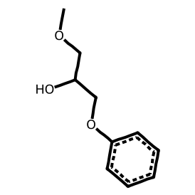 COCC(O)COc1ccccc1